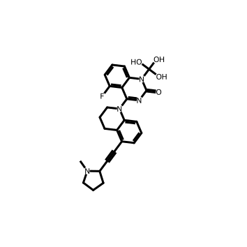 CN1CCCC1C#Cc1cccc2c1CCCN2c1nc(=O)n(C(O)(O)O)c2cccc(F)c12